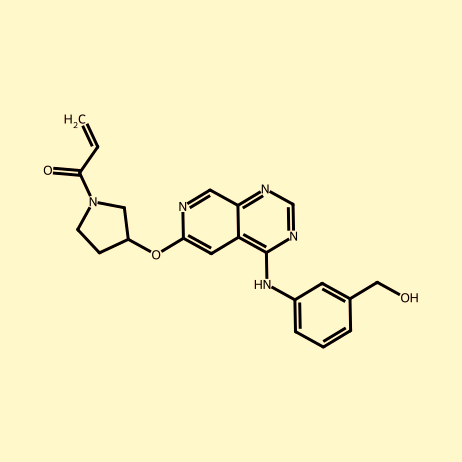 C=CC(=O)N1CCC(Oc2cc3c(Nc4cccc(CO)c4)ncnc3cn2)C1